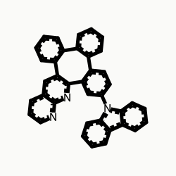 c1ccc2c(c1)-c1ccccc1-c1cc3cccnc3nc1-c1cc(-n3c4ccccc4c4ccccc43)ccc1-2